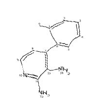 Cc1ccccc1-c1ccnc(N)c1N